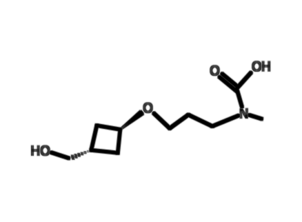 CN(CCCO[C@H]1C[C@H](CO)C1)C(=O)O